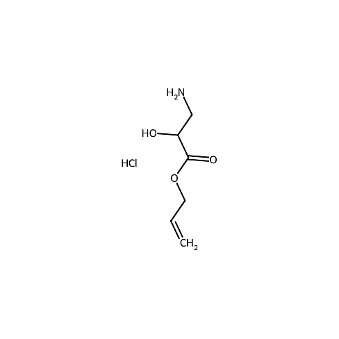 C=CCOC(=O)C(O)CN.Cl